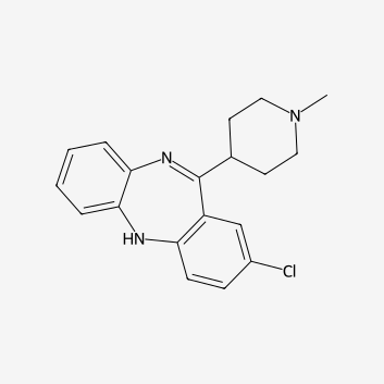 CN1CCC(C2=Nc3ccccc3Nc3ccc(Cl)cc32)CC1